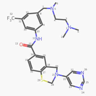 CN(C)CCN(C)Cc1cc(NC(=O)c2ccc3c(c2)CN(c2cncnc2)CS3)cc(C(F)(F)F)c1